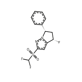 O=S(=O)(c1cc2n(n1)[C@H](c1ccccc1)C[C@@H]2F)C(F)F